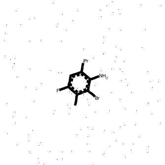 Cc1c(F)cc(C(C)C)c(N)c1Br